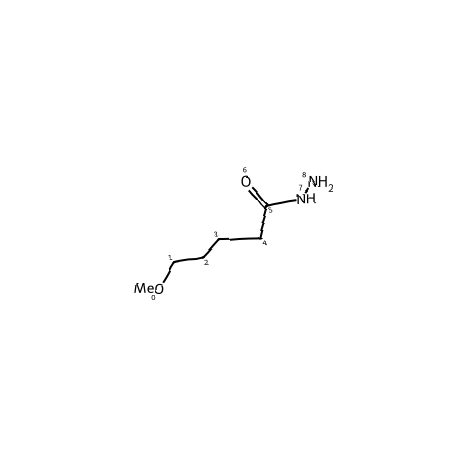 COCCCCC(=O)NN